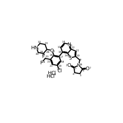 Cl.Cl.O=C1CCC(=O)N1Cc1cc2nccc(-c3cc(Cl)cc(C(F)F)c3OC3CCNCC3)c2s1